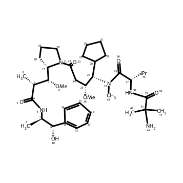 CO[C@H]([C@@H](C)C(=O)N[C@H](C)[C@@H](O)c1ccccc1)[C@@H]1CCCN1C(=O)C[C@@H](OC)[C@H](C1CCCC1)N(C)C(=O)[C@@H](NC(=O)C(C)(C)N)C(C)C